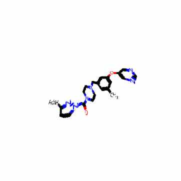 CC(=O)Nc1ccn(C(=O)N2CCN(Cc3cc(C)cc(Oc4cncnc4)c3)CC2)n1